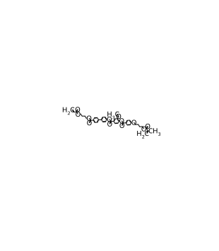 C=CC(=O)OCCCCOC(=O)c1ccc(-c2ccc(OC(=O)c3ccc(OC(=O)c4ccc(OCCCCOC(=O)C(=C)C)cc4)c(OC)c3)cc2)cc1